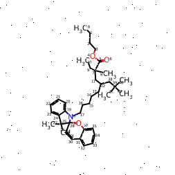 CCCCOC(=O)C(C)(CC)CC(CCCCCN1c2ccccc2C(C)(C)C12C=Cc1ccccc1O2)CC(C)(C)C